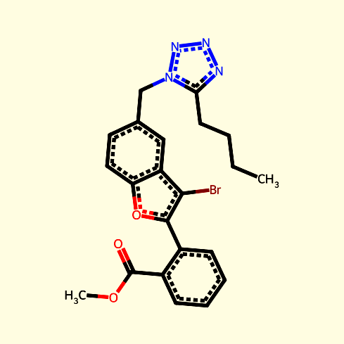 CCCCc1nnnn1Cc1ccc2oc(-c3ccccc3C(=O)OC)c(Br)c2c1